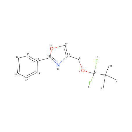 CC(C)(C)C(F)(F)OCc1coc(-c2ccccc2)n1